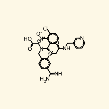 N=C(N)c1ccc(CN(CC(=O)O)C(=O)c2cccc(Cl)c2[N+](=O)[O-])c(OCC(=O)NCc2cccnc2)c1